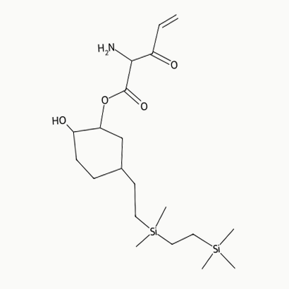 C=CC(=O)C(N)C(=O)OC1CC(CC[Si](C)(C)CC[Si](C)(C)C)CCC1O